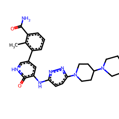 Cc1c(C(N)=O)cccc1-c1c[nH]c(=O)c(Nc2ccc(N3CCC(N4CCOCC4)CC3)nn2)c1